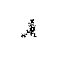 C/C(=N\N=C(/C)n1c(=O)n(CCF)c2cc(F)c(S(=O)(=O)NC3(C)CC3)cc21)C(F)F